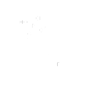 CP(=O)(O)OCc1cccc(F)c1